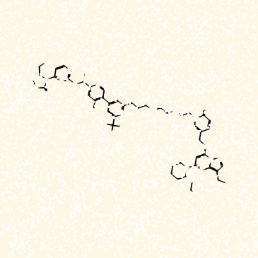 CCc1cnn2c(NCc3ccc(=O)n(CCOCCOCCCc4cc(-c5cnc([C@H](C)Nc6nccc(N7C(=O)OC[C@@H]7[C@H](C)F)n6)cc5C)cc(C(F)(F)F)n4)c3)cc(N3CCCC[C@H]3CCO)nc12